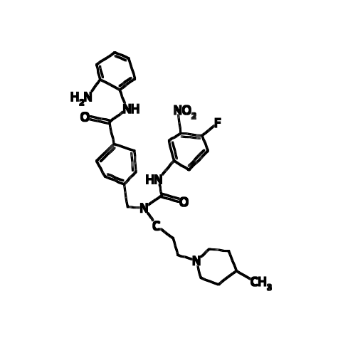 CC1CCN(CCCN(Cc2ccc(C(=O)Nc3ccccc3N)cc2)C(=O)Nc2ccc(F)c([N+](=O)[O-])c2)CC1